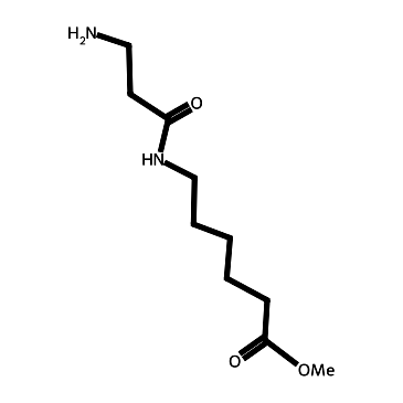 COC(=O)CCCCCNC(=O)CCN